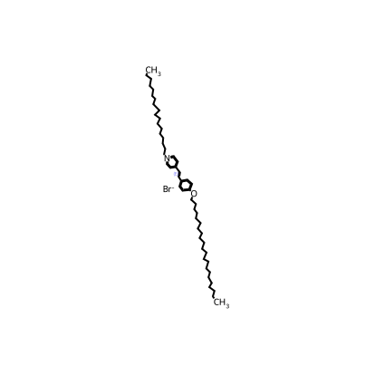 CCCCCCCCCCCCCCCCCCCCCCOc1ccc(/C=C/c2cc[n+](CCCCCCCCCCCCCCCCCC)cc2)cc1.[Br-]